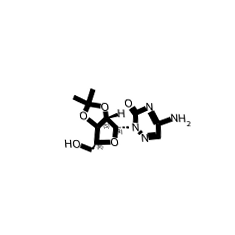 CC1(C)OC2[C@@H](CO)O[C@@H](n3ncc(N)nc3=O)[C@H]2O1